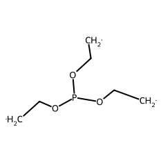 [CH2]COP(OC[CH2])OC[CH2]